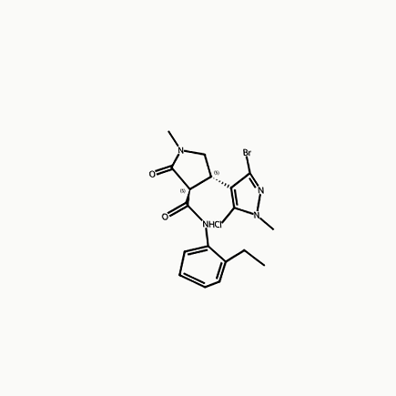 CCc1ccccc1NC(=O)[C@H]1C(=O)N(C)C[C@@H]1c1c(Br)nn(C)c1Cl